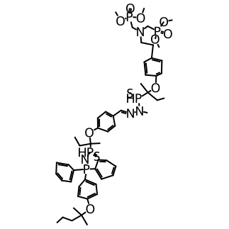 CCCC(C)(C)Oc1ccc(P(=N[PH](=S)C(C)(CC)Oc2ccc(C=NN(C)[PH](=S)C(C)(CC)Oc3ccc(CCN(CP(=O)(OC)OC)CP(=O)(OC)OC)cc3)cc2)(c2ccccc2)c2ccccc2)cc1